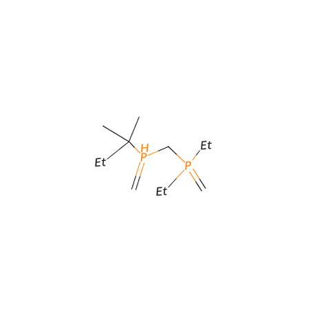 C=[PH](CP(=C)(CC)CC)C(C)(C)CC